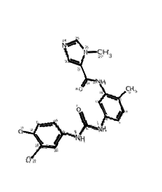 Cc1ccc(NC(=O)Nc2ccc(Cl)c(Cl)c2)cc1NC(=O)c1cncn1C